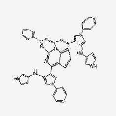 c1ccc(-n2cc(Nc3cc[nH]c3)c(-c3nc4nc(-c5ncccn5)nc5nc(-c6cn(-c7ccccc7)cc6Nc6cc[nH]c6)c6ccc3c6n45)c2)cc1